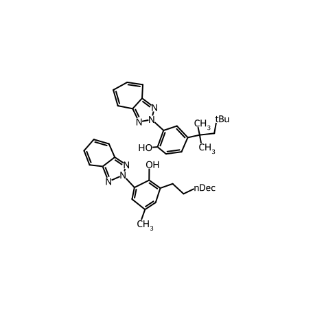 CC(C)(C)CC(C)(C)c1ccc(O)c(-n2nc3ccccc3n2)c1.CCCCCCCCCCCCc1cc(C)cc(-n2nc3ccccc3n2)c1O